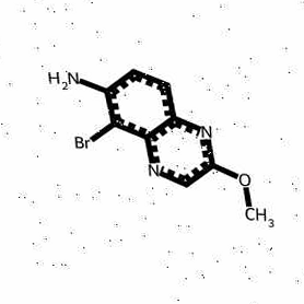 COc1cnc2c(Br)c(N)ccc2n1